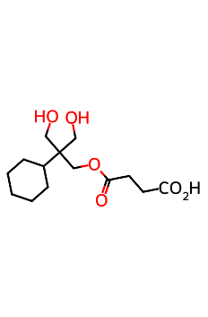 O=C(O)CCC(=O)OCC(CO)(CO)C1CCCCC1